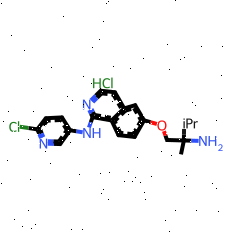 CC(C)C(C)(N)COc1ccc2c(Nc3ccc(Cl)nc3)nccc2c1.Cl